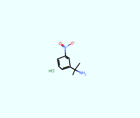 CC(C)(N)c1cccc([N+](=O)[O-])c1.Cl